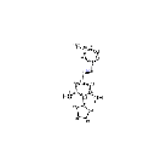 Oc1cc(/C=C/c2cccc(F)c2)cc(O)c1C1CCCC1